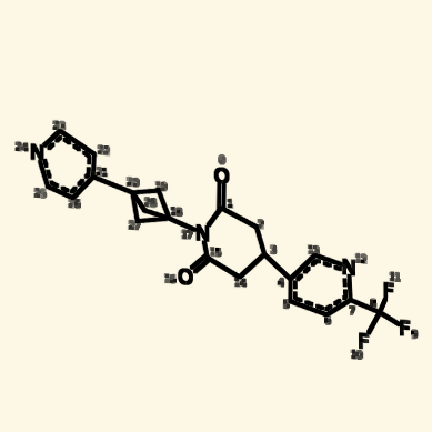 O=C1CC(c2ccc(C(F)(F)F)nc2)CC(=O)N1C12CC(c3ccncc3)(C1)C2